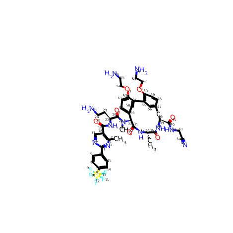 Cc1nc(-c2ccc(S(F)(F)(F)(F)F)cc2)ncc1C(=O)N[C@@H](CCN)C(=O)N(C)[C@@H]1C(=O)N[C@@H](C)C(=O)N[C@H](C(=O)NCC#N)Cc2ccc(OCCN)c(c2)-c2cc1ccc2OCCN